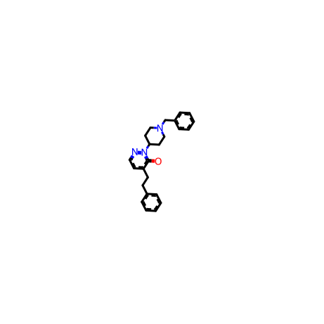 O=c1c(CCc2ccccc2)ccnn1C1CCN(Cc2ccccc2)CC1